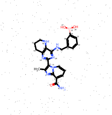 Cc1nc2c(C(N)=O)cccn2c1-c1nc2c(c(NCc3cccc(B(O)O)c3)n1)NCCC2